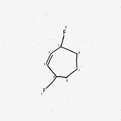 FC1C=CC(F)CCC1